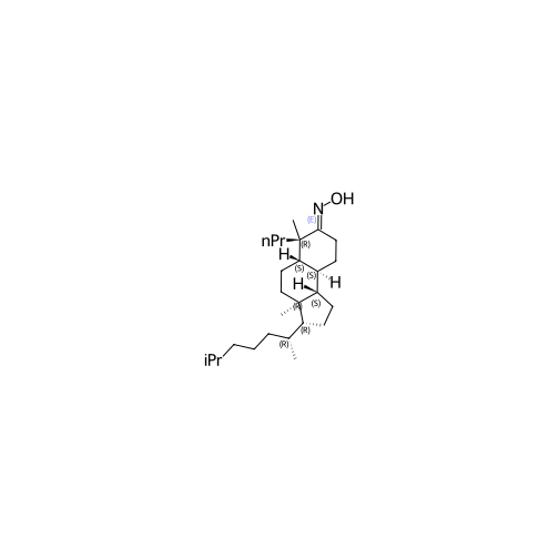 CCC[C@@]1(C)/C(=N/O)CC[C@H]2[C@@H]3CC[C@H]([C@H](C)CCCC(C)C)[C@@]3(C)CC[C@@H]21